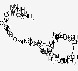 CO[C@H]1C[C@@H]2CC[C@@H](C)[C@@](O)(O2)C(=O)C(=O)N2CCCC[C@H]2C(=O)O[C@H]([C@H](N)C[C@@H]2CC[C@@H](OC(=O)N3CCc4nc(N5CCN(CCOCCN6CCN(c7ncc(C(=O)N8CCc9cc(Cn%10nc(-c%11ccc%12oc(N)nc%12c%11)c%11c(N)ncnc%11%10)ccc9C8)cn7)CC6)CC5)ncc4C3)[C@H](OC)C2)C[C@@H](OC)[C@H](C)/C=C(\C)[C@@H](O)[C@@H](O)C(=O)[C@H](C)C[C@H](C)/C=C/C=C/C=C/1C